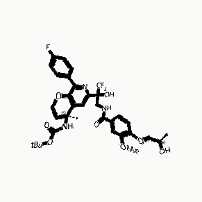 COc1cc(C(=O)NCC(O)(c2cc3c(c(-c4ccc(F)cc4)n2)OCC[C@]3(C)NC(=O)OC(C)(C)C)C(F)(F)F)ccc1OC[C@@H](C)O